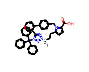 CCCc1ccc(C(=O)O)n1Cc1ccc(-c2ccccc2-c2nnnn2C(c2ccccc2)(c2ccccc2)c2ccccc2)cc1